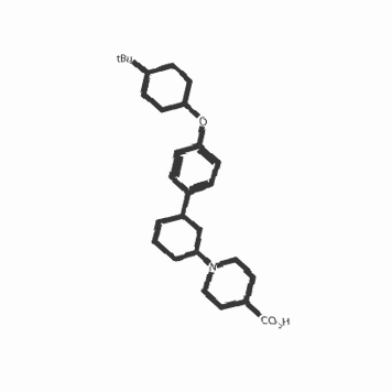 CC(C)(C)C1CCC(Oc2ccc(C3CCCC(N4CCC(C(=O)O)CC4)C3)cc2)CC1